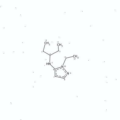 CCC(CC)Nc1ccnn1CC